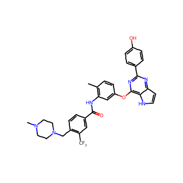 Cc1ccc(Oc2nc(-c3ccc(O)cc3)nc3cc[nH]c23)cc1NC(=O)c1ccc(CN2CCN(C)CC2)c(C(F)(F)F)c1